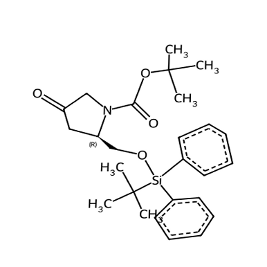 CC(C)(C)OC(=O)N1CC(=O)C[C@@H]1CO[Si](c1ccccc1)(c1ccccc1)C(C)(C)C